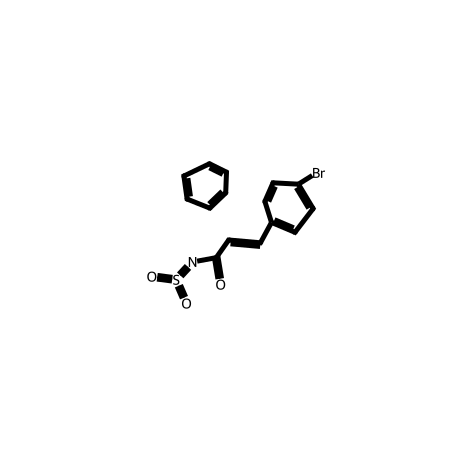 O=C(C=Cc1ccc(Br)cc1)N=S(=O)=O.c1ccccc1